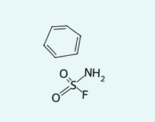 NS(=O)(=O)F.c1ccccc1